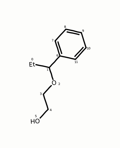 CCC(OCCO)c1ccccc1